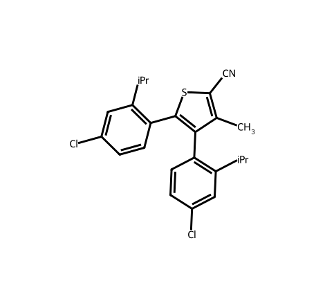 Cc1c(C#N)sc(-c2ccc(Cl)cc2C(C)C)c1-c1ccc(Cl)cc1C(C)C